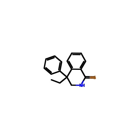 CCC1(c2ccccc2)CNC(=S)c2ccccc21